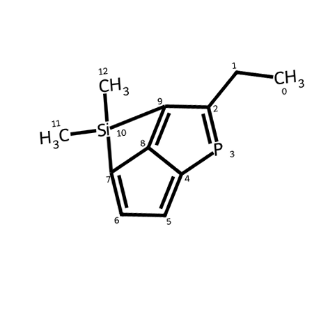 CCC1=PC2=CC=C3C2=C1[Si]3(C)C